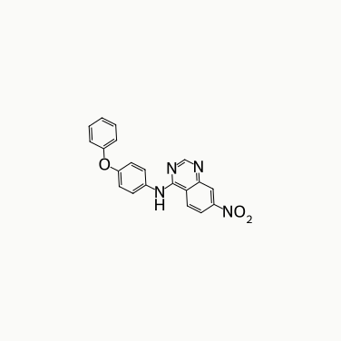 O=[N+]([O-])c1ccc2c(Nc3ccc(Oc4ccccc4)cc3)ncnc2c1